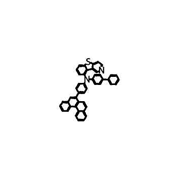 c1ccc(-c2ccc(N(c3ccc(-c4cc5ccccc5c5c4ccc4ccccc45)cc3)c3cccc4sc5ccncc5c34)cc2)cc1